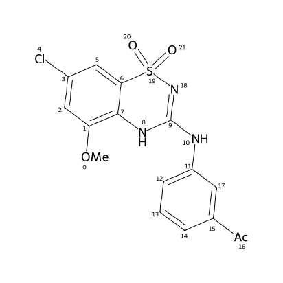 COc1cc(Cl)cc2c1NC(Nc1cccc(C(C)=O)c1)=NS2(=O)=O